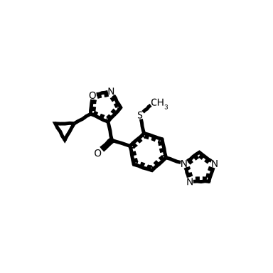 CSc1cc(-n2cncn2)ccc1C(=O)c1cnoc1C1CC1